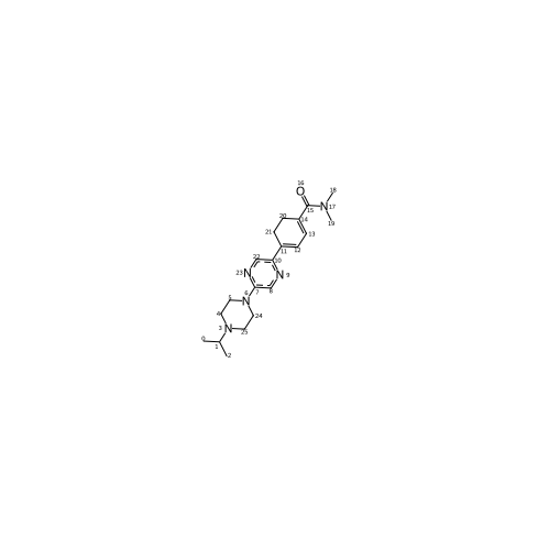 CC(C)N1CCN(c2cnc(C3=CC=C(C(=O)N(C)C)CC3)cn2)CC1